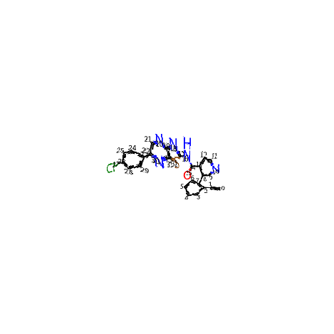 C#Cc1ccccc1-c1cnccc1C(=O)Nc1nc2ncc(-c3ccc(Cl)cc3)nc2s1